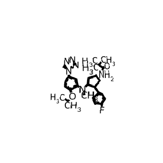 CC(C)(C)C(N)=O.CC(C)Oc1ccc(-n2cnnn2)cc1N(C)C1CCCC1c1ccc(F)cc1